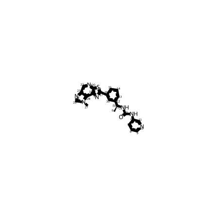 C[C@H](NC(=O)Nc1cccnc1)c1cccc(-c2nc3c(ncc4ncn(C)c43)s2)c1